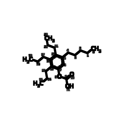 CCCCCc1cc(OC(=O)O)c(CCC)c(CCC)c1CCC